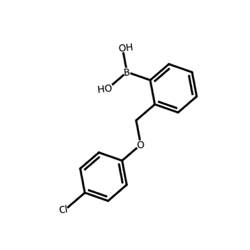 OB(O)c1ccccc1COc1ccc(Cl)cc1